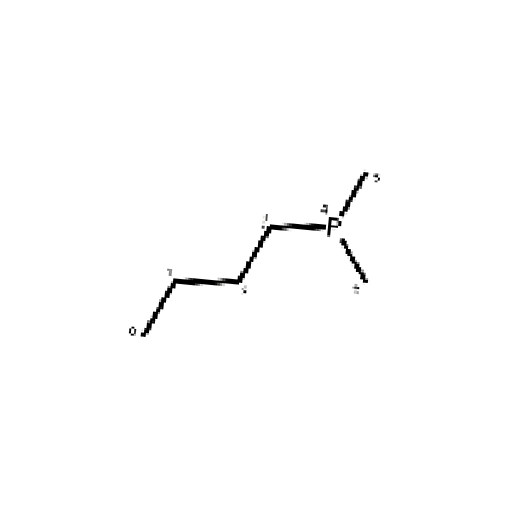 CCC[CH]P(C)C